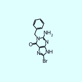 Nc1nc2[nH]c(Br)nc2c(=O)n1Cc1ccccc1